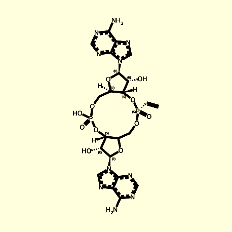 C=C[P@]1(=O)OCC2O[C@@H](n3cnc4c(N)ncnc43)[C@H](O)[C@@H]2OP(=O)(O)OC[C@H]2O[C@@H](n3cnc4c(N)ncnc43)[C@H](O)[C@@H]2O1